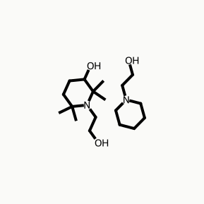 CC1(C)CCC(O)C(C)(C)N1CCO.OCCN1CCCCC1